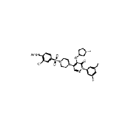 CC(=O)Nc1ccc(S(=O)(=O)N2CCN(c3cnn(-c4cc(F)cc(F)c4)c(=O)c3O[C@H]3CC[C@@H](C)C3)CC2)cc1Cl